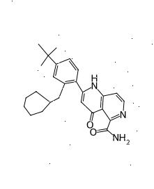 CC(C)(C)c1ccc(-c2cc(=O)c3c(C(N)=O)nccc3[nH]2)c(CC2CCCCC2)c1